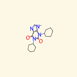 Cn1cnc2c(=O)n(C3CCCCC3)c(=O)n(C3CCCCC3)c21